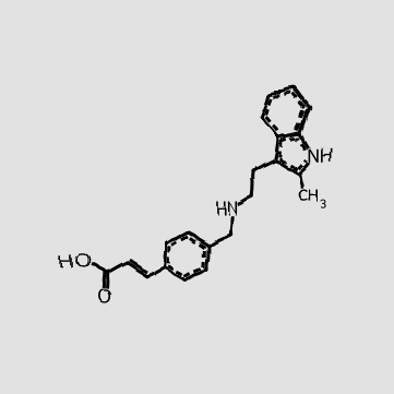 Cc1[nH]c2ccccc2c1CCNCc1ccc(C=CC(=O)O)cc1